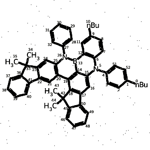 CCCCc1ccc(N2c3ccc(CCCC)cc3B3c4c2cc2c(c4-c4cc5c(cc4N3c3ccccc3)C(C)(C)c3ccccc3-5)C(C)(C)c3ccccc3-2)cc1